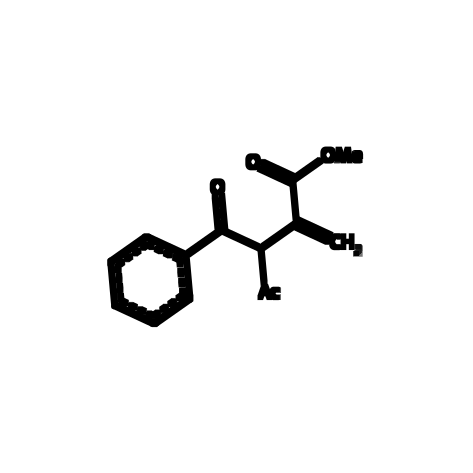 C=C(C(=O)OC)C(C(C)=O)C(=O)c1ccccc1